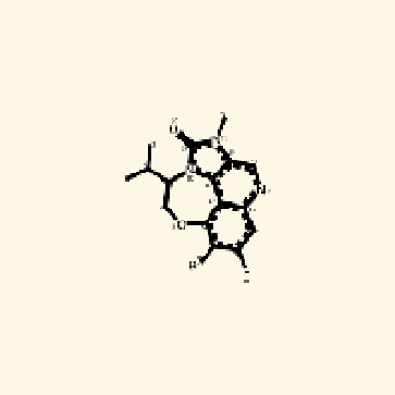 CC(C)C1COc2c(Br)c(F)cc3ncc4c(c23)n1c(=O)n4C